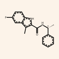 Cc1c(C(=O)N[C@H](C)c2ccccc2)[nH]c2ccc(F)cc12